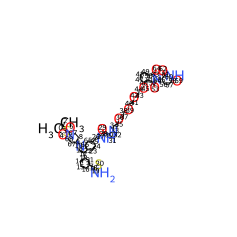 CC(C)S(=O)(=O)N1CCC(n2cc(-c3cccc(C(N)=S)c3)c3ccc(CNC(=O)C4CCN4CCOCCOCCOCCOc4cccc5c4C(=O)N(C4CCC(=O)NC4=O)C5=O)cc32)CC1